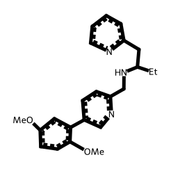 CCC(Cc1ccccn1)NCc1ccc(-c2cc(OC)ccc2OC)cn1